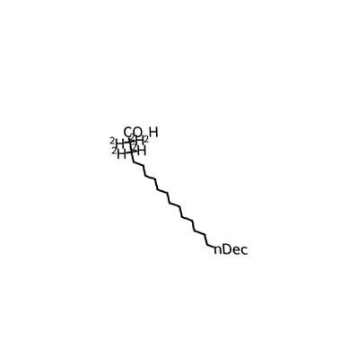 [2H]C([2H])(CCCCCCCCCCCCCCCCCCCCCCC)C([2H])([2H])C(=O)O